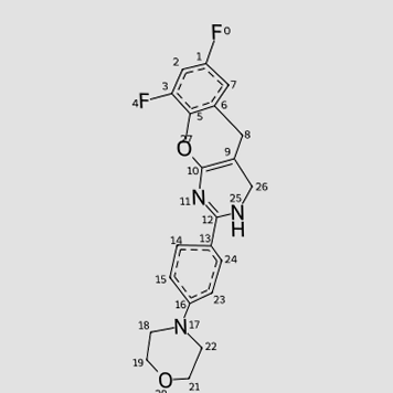 Fc1cc(F)c2c(c1)CC1=C(N=C(c3ccc(N4CCOCC4)cc3)NC1)O2